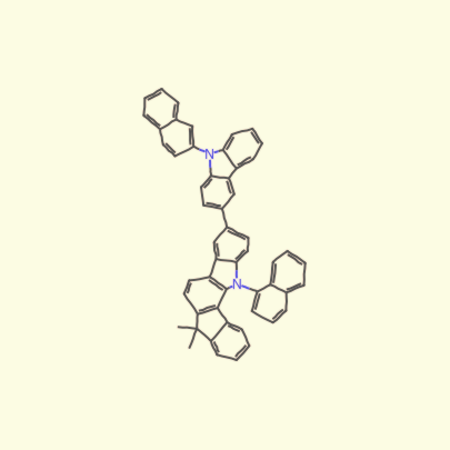 CC1(C)c2ccccc2-c2c1ccc1c3cc(-c4ccc5c(c4)c4ccccc4n5-c4ccc5ccccc5c4)ccc3n(-c3cccc4ccccc34)c21